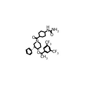 C[C@@H](O[C@H]1CCN(C(=O)C2CCC(NC(N)=O)CC2)C[C@H]1c1ccccc1)c1cc(C(F)(F)F)cc(C(F)(F)F)c1